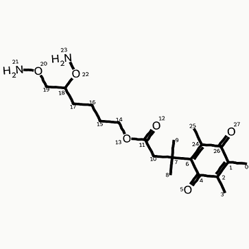 CC1=C(C)C(=O)C(C(C)(C)CC(=O)OCCCCC(CON)ON)=C(C)C1=O